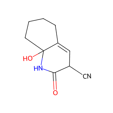 N#CC1C=C2CCCCC2(O)NC1=O